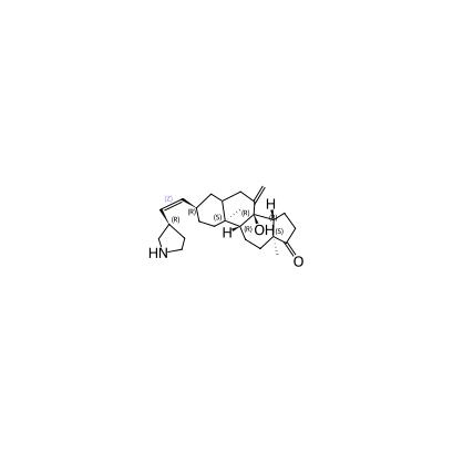 C=C1CC2C[C@H](/C=C\[C@H]3CCNC3)CC[C@]2(C)[C@H]2CC[C@]3(C)C(=O)CC[C@H]3[C@@]12O